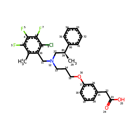 Cc1c(F)c(F)c(F)c(Cl)c1CN(CCCOc1cccc(CC(=O)O)c1)C[C@H](C)c1ccccc1